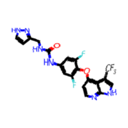 O=C(NCc1cc[nH]n1)Nc1cc(F)c(Oc2ccnc3[nH]cc(C(F)(F)F)c23)c(F)c1